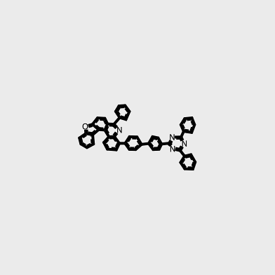 c1ccc(-c2nc(-c3ccccc3)nc(-c3ccc(-c4ccc(-c5cccc6c5nc(-c5ccccc5)c5ccc7oc8ccccc8c7c56)cc4)cc3)n2)cc1